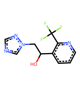 OC(Cn1cncn1)c1cccnc1C(F)(F)F